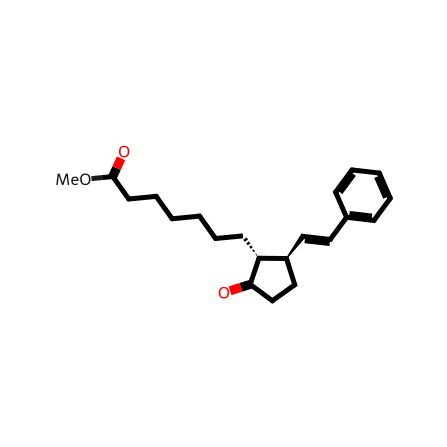 COC(=O)CCCCCC[C@H]1C(=O)CC[C@@H]1/C=C/c1ccccc1